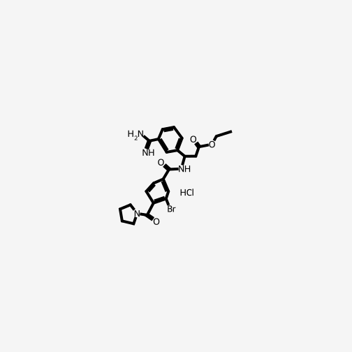 CCOC(=O)CC(NC(=O)c1ccc(C(=O)N2CCCC2)c(Br)c1)c1cccc(C(=N)N)c1.Cl